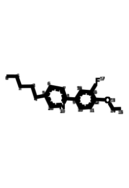 CCCCCc1ccc(-c2ccc(OCC)c(F)c2)nc1